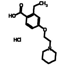 CCc1cc(OCCN2CCCCC2)ccc1C(=O)O.Cl